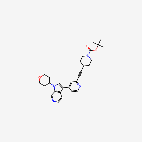 CC(C)(C)OC(=O)N1CCC(C#Cc2cc(-c3cn(C4CCOCC4)c4cnccc34)ccn2)CC1